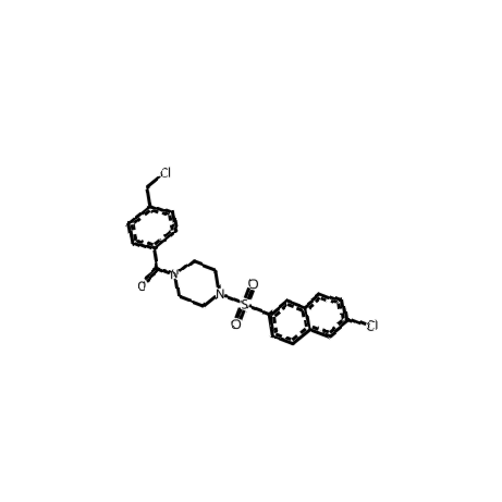 O=C(c1ccc(CCl)cc1)N1CCN(S(=O)(=O)c2ccc3cc(Cl)ccc3c2)CC1